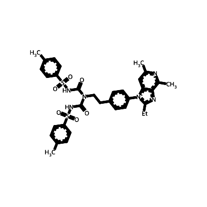 CCc1nc2c(C)nc(C)cc2n1-c1ccc(CCN(C(=O)NS(=O)(=O)c2ccc(C)cc2)C(=O)NS(=O)(=O)c2ccc(C)cc2)cc1